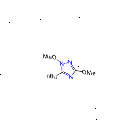 CCCCc1nc(OC)nn1OC